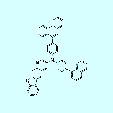 c1ccc2c(-c3ccc(N(c4ccc(-c5cc6ccccc6c6ccccc56)cc4)c4cnc5cc6oc7ccccc7c6cc5c4)cc3)cccc2c1